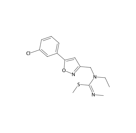 CCN(Cc1cc(-c2cccc(Cl)c2)on1)/C(=N\C)SC